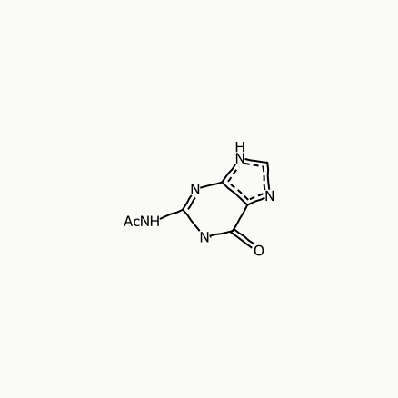 CC(=O)NC1=Nc2[nH]cnc2C(=O)[N]1